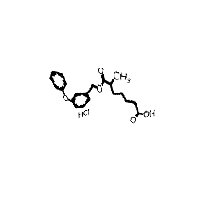 CC(CCCCC(=O)O)C(=O)OCc1cccc(Oc2ccccc2)c1.Cl